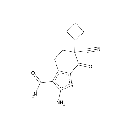 N#CC1(C2CCC2)CCc2c(sc(N)c2C(N)=O)C1=O